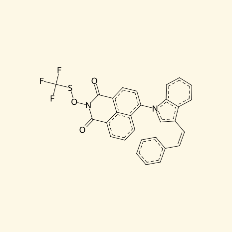 O=C1c2cccc3c(-n4cc(/C=C\c5ccccc5)c5ccccc54)ccc(c23)C(=O)N1OSC(F)(F)F